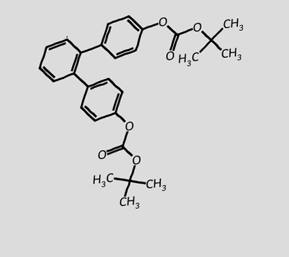 CC(C)(C)OC(=O)Oc1ccc(-c2[c]cccc2-c2ccc(OC(=O)OC(C)(C)C)cc2)cc1